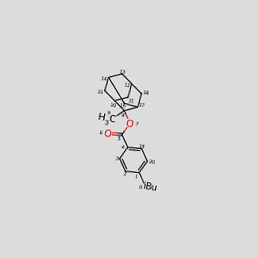 CCC(C)c1ccc(C(=O)OC2(C)C3CC4CC(C3)CC2C4)cc1